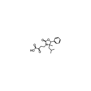 CC(C)CC1(C)C(c2ccccc2)OC(=O)N1CCC(=O)C(=O)O